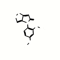 COc1ccc(-n2c3cssc-3[c]c2=O)c(OC)c1